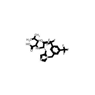 CC(C)CC(N[C@@H](Cc1cncn1Cc1cc(C(F)(F)F)cc(C(F)(F)F)c1)C(=O)O)C(=O)O